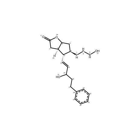 O=C1C[C@H]2C(C[C@@H](PPBO)[C@@H]2/C=C/C(O)CCc2ccccc2)O1